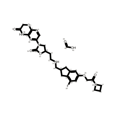 O=C1COc2ncc(N3CC(CCNCC4Cc5cc(OCC(=O)N6CCC6)cc(F)c5C4)OC3=O)nc2N1.O=CO